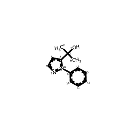 CC(C)(O)c1c[c]nn1-c1ccccc1